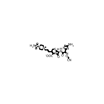 C[N+]1(C/C=C/C2=C(C(=O)[O-])N3C(=O)[C@@H](NC(=O)/C(=N\OCC#N)c4nsc(N)n4)[C@@H]3SC2)CCN(S(N)(=O)=O)CC1